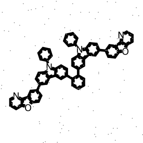 c1ccc(-n2c3ccc(-c4ccc5oc6cccnc6c5c4)cc3c3cc(-c4ccccc4-c4ccc5c(c4)c4cc(-c6ccc7oc8cccnc8c7c6)ccc4n5-c4ccccc4)ccc32)cc1